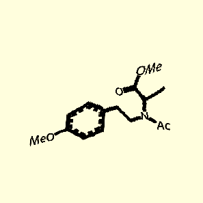 COC(=O)C(C)N(CCc1ccc(OC)cc1)C(C)=O